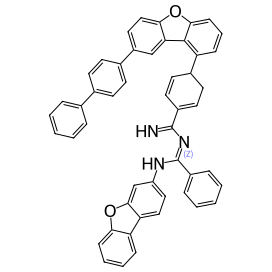 N=C(/N=C(\Nc1ccc2c(c1)oc1ccccc12)c1ccccc1)C1=CCC(c2cccc3oc4ccc(-c5ccc(-c6ccccc6)cc5)cc4c23)C=C1